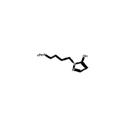 CCCCCCCCCn1nccc1O